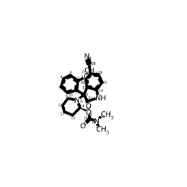 COc1ccccc1C1(N2CCCC[C@@H]2OC(=O)N(C)C)C(=O)Nc2ccc(C#N)cc21